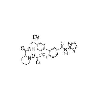 N#C[C@@H](CNC(=O)[C@@H]1CCCCN1OC(=O)C(F)(F)F)c1ccc(-c2cccc(C(=O)Nc3nccs3)c2)cc1